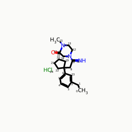 CCc1cccc(C2(CC(=N)N3CCN(C)C(=O)C3)CCCC2)c1.Cl